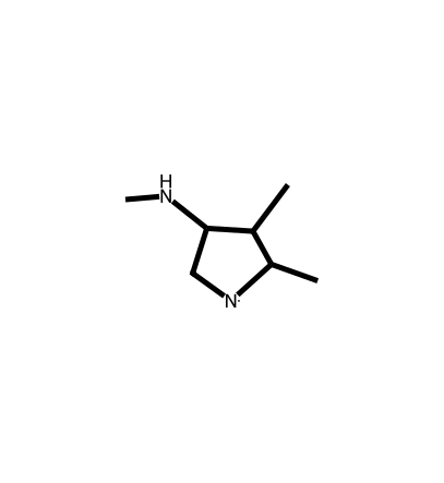 CNC1C[N]C(C)C1C